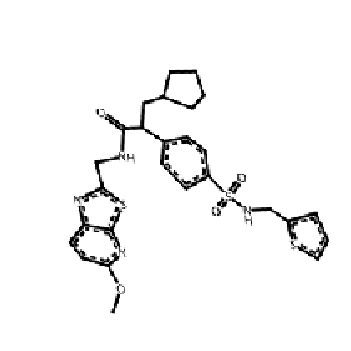 COc1ccc2nc(CNC(=O)C(CC3CCCC3)c3ccc(S(=O)(=O)NCc4cccs4)cc3)sc2n1